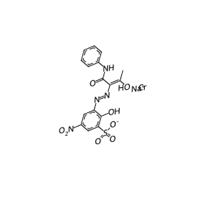 CC(O)=C(N=Nc1cc([N+](=O)[O-])cc(S(=O)(=O)[O-])c1O)C(=O)Nc1ccccc1.[Cr].[Na+]